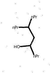 CCCC(O)CC(CCC)CCC